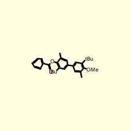 COc1c(C)cc(-c2cc(C)c(OC(=O)c3ccccc3)c(C(C)(C)C)c2)cc1C(C)(C)C